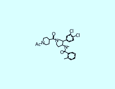 CC(=O)N1CCC(C(=O)N2CCC(N(C)C(=O)c3ccccc3C)C(c3ccc(Cl)c(Cl)c3)C2)CC1